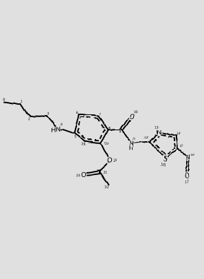 CCCCNc1ccc(C(=O)Nc2ncc(N=O)s2)c(OC(C)=O)c1